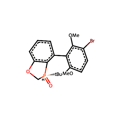 COc1ccc(Br)c(OC)c1-c1cccc2c1[P@](=O)(C(C)(C)C)CO2